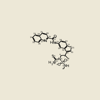 CNS(=O)(=O)N(CC(C)c1csc2ccc(NC(=O)c3ccc4ccccc4n3)cc12)C(N)=S